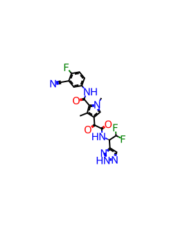 Cc1c(C(=O)C(=O)N[C@H](c2cn[nH]n2)C(F)F)cn(C)c1C(=O)Nc1ccc(F)c(C#N)c1